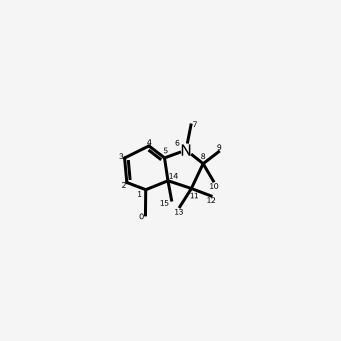 CC1C=CC=C2N(C)C(C)(C)C(C)(C)C21C